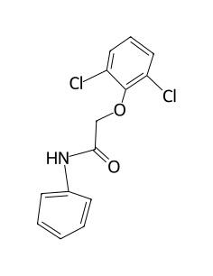 O=C(COc1c(Cl)cccc1Cl)Nc1ccccc1